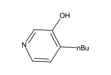 CCCCc1ccncc1O